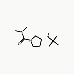 CN(C)C(=O)N1CC[C@@H](NC(C)(C)C)C1